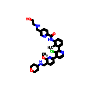 COc1nc(-c2ccnc(-c3cccc(NC(=O)c4ccc(CNCCO)cn4)c3C)c2Cl)ccc1CNC1CCOCC1